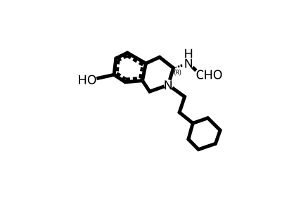 O=CN[C@H]1Cc2ccc(O)cc2CN1CCC1CCCCC1